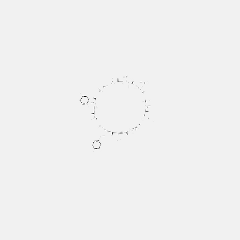 CC[C@H](C)[C@@H]1NC(=O)[C@H](CC(C)C)N(C)C(=O)C[C@@H](C)N(C)C(=O)[C@H](CC(C)C)NC(=O)C(C)(C)N(C)C(=O)[C@H](CC(C)C)NC(=O)[C@H](CCc2ccc(C(F)(F)F)c(Cl)c2)NC(=O)CN(C)C(=O)[C@H](Cc2ccc(C)cc2)N(C)C(=O)CN(C)C(=O)CN(C)C1=O